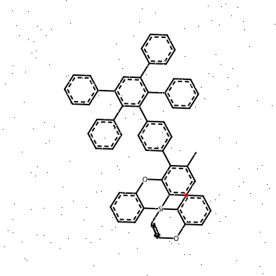 Cc1ccc2c(c1-c1ccc(-c3c(-c4ccccc4)c(-c4ccccc4)cc(-c4ccccc4)c3-c3ccccc3)cc1)Oc1ccccc1[Si]21c2ccccc2Oc2ccccc21